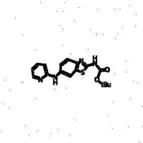 CC(C)(C)OC(=O)Nc1nc2ccc(Nc3ccccn3)cc2s1